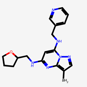 Bc1cnn2c(NCc3cccnc3)cc(NCC3CCCO3)nc12